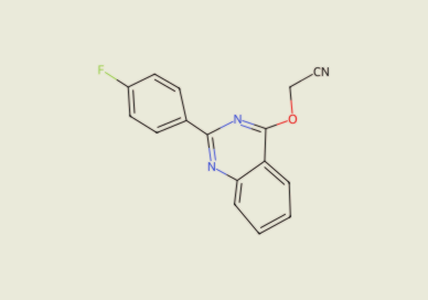 N#CCOc1nc(-c2ccc(F)cc2)nc2ccccc12